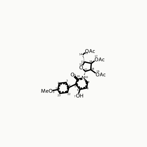 COc1ccc(-c2c(O)ccn([C@@H]3O[C@H](COC(C)=O)C(OC(C)=O)C3OC(C)=O)c2=O)cc1